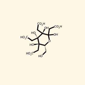 O=C(O)CC1(O)O[C@H](CO)[C@](O)(CC(=O)O)[C@@](O)(CC(=O)O)[C@]1(O)CC(=O)O